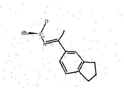 C/C(=N\[S@+]([O-])C(C)(C)C)c1ccc2c(c1)CCC2